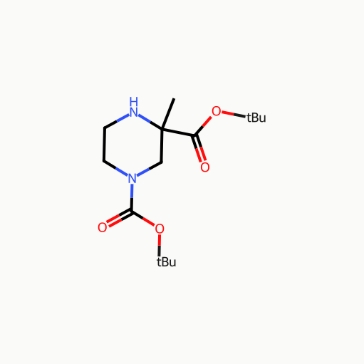 CC(C)(C)OC(=O)N1CCNC(C)(C(=O)OC(C)(C)C)C1